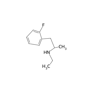 CCNC(C)Cc1ccccc1F